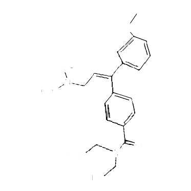 CCN(CC)C(=O)c1ccc(/C(=C\CN(C)C)c2cccc(OC)c2)cc1